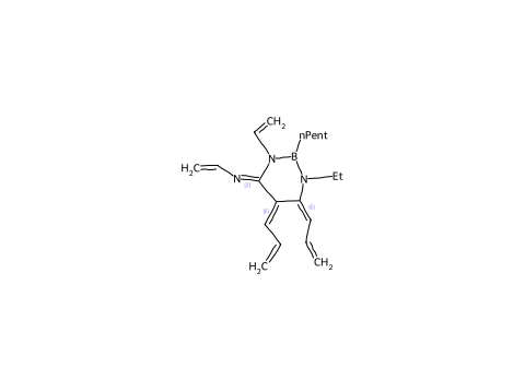 C=C/C=C1C(=N/C=C)/N(C=C)B(CCCCC)N(CC)C/1=C/C=C